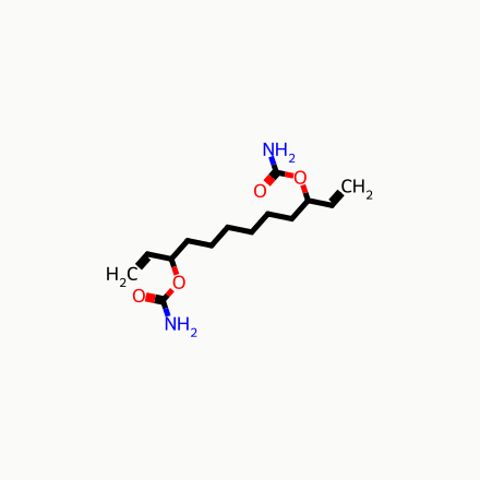 C=CC(CCCCCCC(C=C)OC(N)=O)OC(N)=O